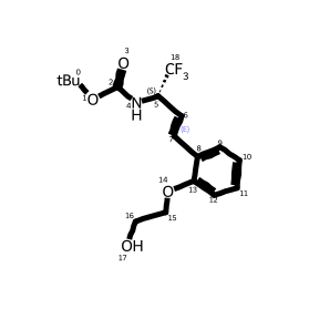 CC(C)(C)OC(=O)N[C@@H](/C=C/c1ccccc1OCCO)C(F)(F)F